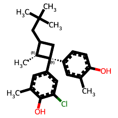 Cc1cc([C@@]2(c3cc(C)c(O)c(Cl)c3)CC(CC(C)(C)C)[C@H]2C)ccc1O